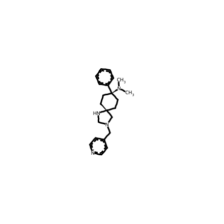 CN(C)[C@]1(c2ccccc2)CC[C@@]2(CC1)CN(Cc1ccncc1)CN2